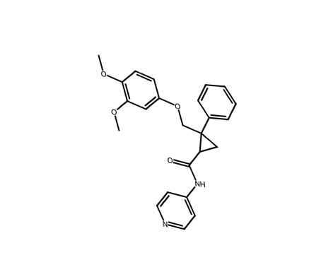 COc1ccc(OCC2(c3ccccc3)CC2C(=O)Nc2ccncc2)cc1OC